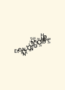 CCOc1cncc(-c2ccc(C(=O)N3CCC[C@@H]3c3cccc(NS(=O)(=O)C4CC4)c3)nc2)n1